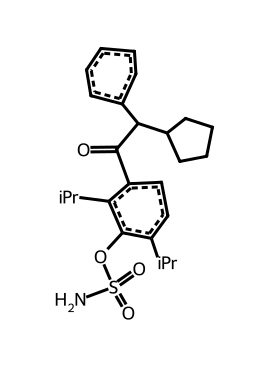 CC(C)c1ccc(C(=O)C(c2ccccc2)C2CCCC2)c(C(C)C)c1OS(N)(=O)=O